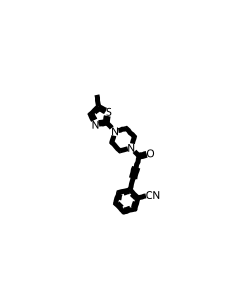 Cc1cnc(N2CCN(C(=O)C#Cc3ccccc3C#N)CC2)s1